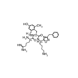 Cc1cc(O)cc(C)c1C[C@H](NC(=O)[C@H](N)CCCC(=N)N)C(=O)N[C@H](CCCCN)c1nc(Cc2ccccc2)no1